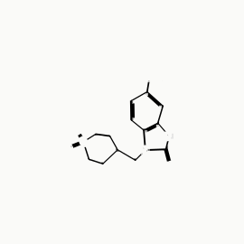 O=c1[nH]c2cc(S(=O)(=O)O)ccc2n1CC1CCS(=O)(=O)CC1